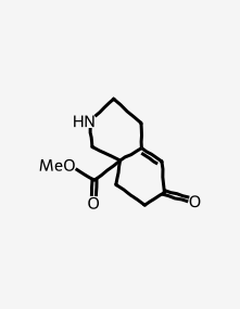 COC(=O)C12CCC(=O)C=C1CCNC2